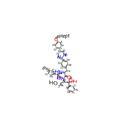 CCCCCCCOc1ccc(-c2cnc(-c3ccc(C[C@H](NC(=O)c4ccc(C(C)C)s4)C(=O)NC(C(=O)O)C(O)c4ccccc4)cc3)nc2)cc1